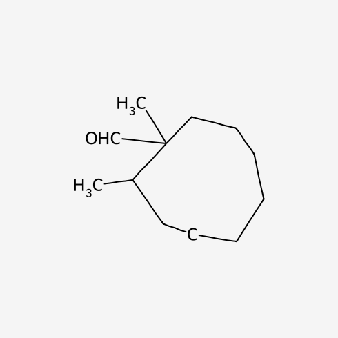 CC1CCCCCCCC1(C)C=O